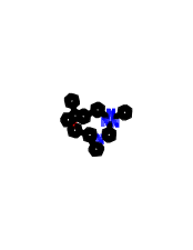 c1ccc(-c2ccc3c(c2)c2ccccc2n3-c2cccc(-c3nc(-c4ccccc4)nc(-c4cccc(-c5ccc6c(c5)C(c5ccccc5)c5ccccc5-6)c4)n3)c2)cc1